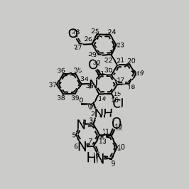 C[C@H](Nc1ncnc2[nH]ccc(=O)c12)c1c(Cl)c2cccc(-c3cccc(C=O)c3)c2c(=O)n1-c1ccccc1